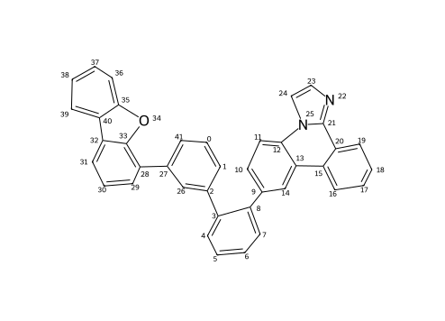 c1cc(-c2ccccc2-c2ccc3c(c2)c2ccccc2c2nccn32)cc(-c2cccc3c2oc2ccccc23)c1